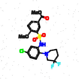 COC(=O)c1ccc(OC)c(S(=O)(=O)Nc2cc(Cl)ccc2N2CCCC(F)(F)C2)c1